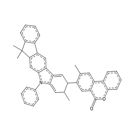 Cc1cc2c(cc1C1C=c3c(n(-c4ccccc4)c4cc5c(cc34)-c3ccccc3C5(C)C)=CC1C)c(=O)oc1ccccc12